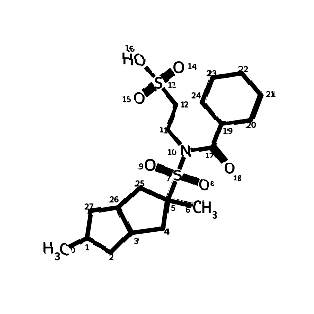 CC1CC2CC(C)(S(=O)(=O)N(CCS(=O)(=O)O)C(=O)C3CCCCC3)CC2C1